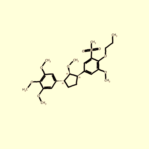 CCCOc1c(OC)cc([C@H]2CC[C@H](c3cc(OC)c(OC)c(OC)c3)[C@H]2OC)cc1S(C)(=O)=O